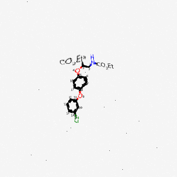 CCOC(=O)NCC(Oc1ccc(Oc2cccc(Cl)c2)cc1)C(=O)OCC